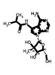 CC(C)C(=O)Nc1cn([C@@H]2O[C@H](CO)[C@@H](O)[C@]2(C)O)c2ncnc(N)c12